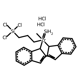 CC1=Cc2ccccc2[CH]1[Zr]([CH3])(=[SiH2])([CH2]CC[Si](Cl)(Cl)Cl)[CH]1C(C)=Cc2ccccc21.Cl.Cl